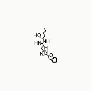 CCCCC(CO)NC(=N)CCC1=NCC(C2Cc3ccccc3O2)N1